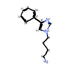 [N]CCCCn1cnc(-c2ccccc2)c1